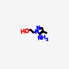 Cc1cnn(CCO)c1N